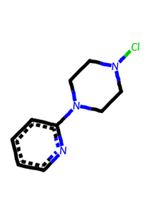 ClN1CCN(c2ccccn2)CC1